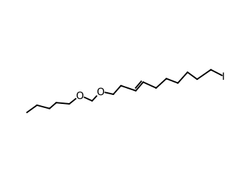 CCCCCOCOCCC=CCCCCCCI